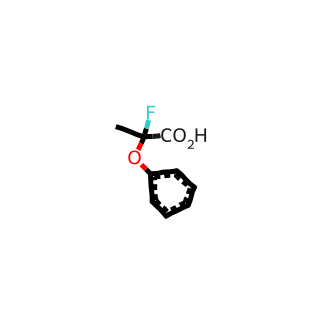 CC(F)(Oc1ccccc1)C(=O)O